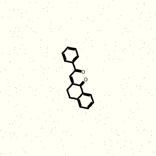 O=C(C=C1CCc2ccccc2C1=O)c1ccccc1